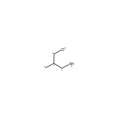 CC(CS)CCl